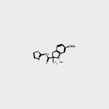 CCC[C@H]1c2cc(OC)ccc2C[C@@]1(C)C(=O)Nc1nccs1